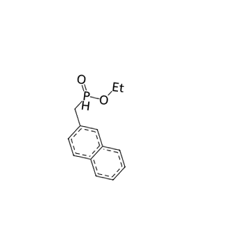 CCO[PH](=O)Cc1ccc2ccccc2c1